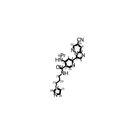 CC(C)Nc1cc(-c2cnc3cc(C#N)cnn23)ncc1C(=O)NCCCn1ccnc1